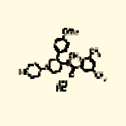 COc1ccc(C2CN(C3CCNCC3)CCC2N(C)C(=O)c2cc(C(F)(F)F)cc(C(F)(F)F)c2)cc1.Cl.Cl